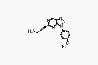 CCOc1ccc(-n2nnc3cnc(C#CCN)nc32)cc1